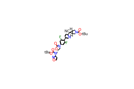 CC(C)(C)OC(=O)N1C[C@@H]2[C@H](C1)[C@@]2(C#N)c1ccc(-c2c(F)cc(N3C[C@H](CN(C(=O)OC(C)(C)C)c4ccon4)OC3=O)cc2F)cn1